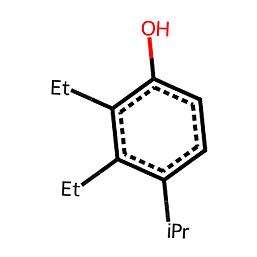 CCc1c(O)ccc(C(C)C)c1CC